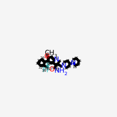 COc1cc2ncc(CN3CCC(N4CCCCC4)CC3)c(C(N)=O)c2cc1-c1ccccc1C(F)(F)F